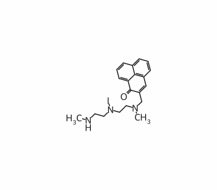 CNCCN(I)CCN(C)CC1=Cc2cccc3cccc(c23)C1=O